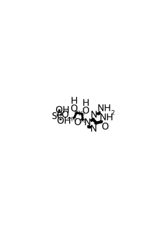 Nc1nc2c(ncn2[C@@H]2O[C@H](COP(O)(O)=S)[C@H](O)[C@@H]2O)c(=O)[nH]1